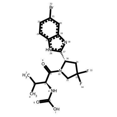 CC(C)[C@H](NC(=O)O)C(=O)N1CC(F)(F)C[C@H]1c1nc2cc(Br)ccc2[nH]1